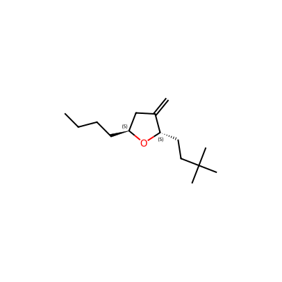 C=C1C[C@H](CCCC)O[C@H]1CCC(C)(C)C